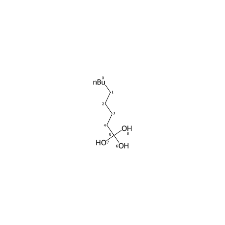 CCCCCCCCC(O)(O)O